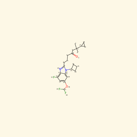 CC(C)(CC(=O)CCCc1nc2c(F)cc(OC(F)F)cc2n1C1CCC1)C1CC1